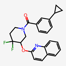 O=C(c1cccc(C2CC2)c1)N1CCC(F)(F)C(Oc2ccc3ccccc3n2)C1